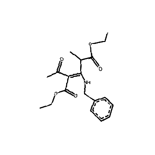 CCOC(=O)C(C(C)=O)=C(NCc1ccccc1)C(C)C(=O)OCC